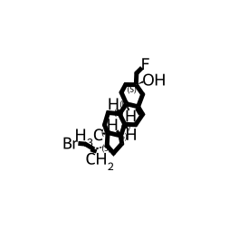 C=C(CBr)[C@H]1CC[C@H]2[C@@H]3CC=C4C[C@](O)(CF)CC[C@@H]4[C@H]3CC[C@]12C